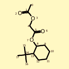 CC(=O)OCC(=O)OC1CCCCC1C(C)(C)C